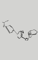 CC(C)Oc1ccc(-c2ccc(OC3CC4CCC(C3)N4)nc2)cc1